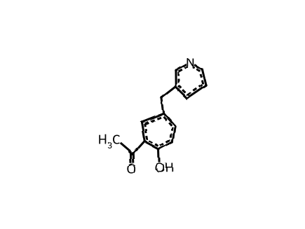 CC(=O)c1cc(Cc2cccnc2)ccc1O